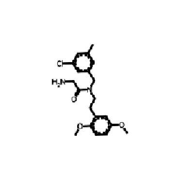 COc1ccc(OC)c(CCN(Cc2cc(C)cc(Cl)c2)C(=O)CN)c1